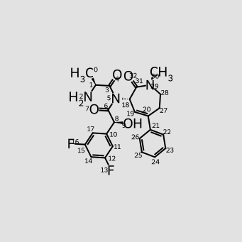 C[C@H](N)C(=O)N(C(=O)[C@@H](O)c1cc(F)cc(F)c1)[C@H]1C=C(c2ccccc2)CCN(C)C1=O